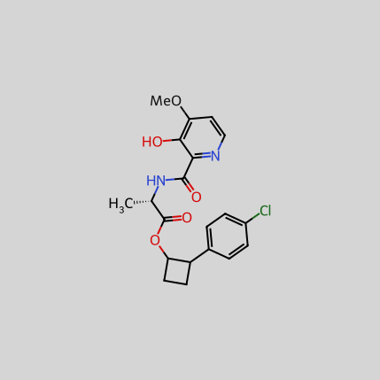 COc1ccnc(C(=O)N[C@@H](C)C(=O)OC2CCC2c2ccc(Cl)cc2)c1O